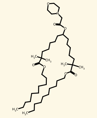 CCCCCCCCCCOC(=O)C(C)(C)CCCCCC(CCCCCC(C)(C)C(=O)OCCCCCCCCCC)OC(=O)CN1CCOCC1